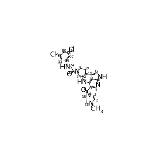 CN1CCN(C(=O)c2cnc3[nH]ccc3c2N[C@H]2CCCN(C(=O)CNc3cc(Cl)cc(Cl)c3)C2)CC1